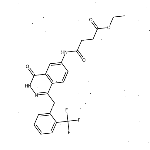 CCOC(=O)CCC(=O)Nc1ccc2c(Cc3ccccc3C(F)(F)F)n[nH]c(=O)c2c1